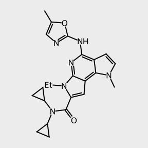 CCn1c(C(=O)N(C2CC2)C2CC2)cc2c3c(ccn3C)c(Nc3ncc(C)o3)nc21